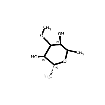 COC1[C@@H](O)C(C)O[C@H](C)[C@H]1O